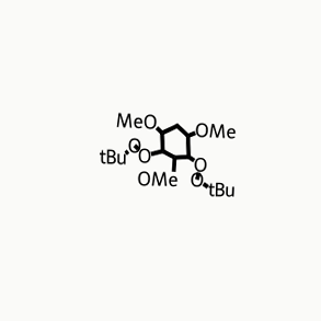 COC1CC(OC)C(OOC(C)(C)C)C(OC)C1OOC(C)(C)C